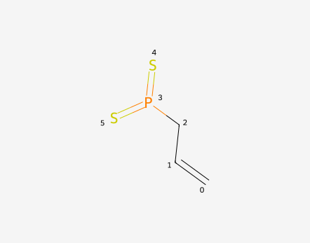 C=CCP(=S)=S